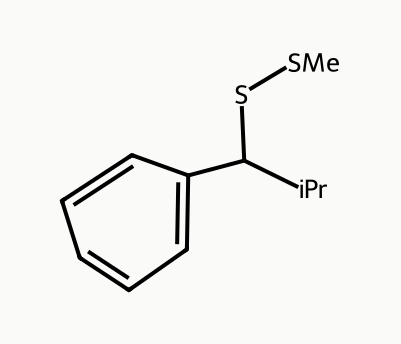 CSSC(c1ccccc1)C(C)C